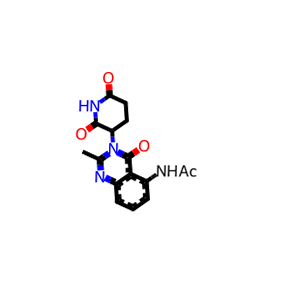 CC(=O)Nc1cccc2nc(C)n(C3CCC(=O)NC3=O)c(=O)c12